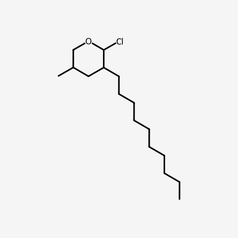 CCCCCCCCCCC1CC(C)COC1Cl